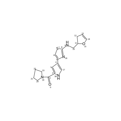 O=C(c1cc(-c2csc(NCC3CC=CO3)n2)c[nH]1)N1CCCC1